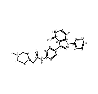 CN1CCN(CC(=O)Nc2ccc(-c3cn(-c4ccccc4)c4nc[nH]c(=O)c34)cc2)CC1